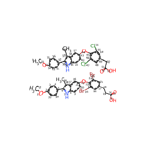 COc1ccc(-c2[nH]c3ccc(Oc4c(Br)cc(CCC(=O)O)cc4Br)cc3c2C)cc1.COc1ccc(-c2[nH]c3ccc(Oc4c(Cl)cc(CC(=O)O)cc4Cl)cc3c2C)cc1